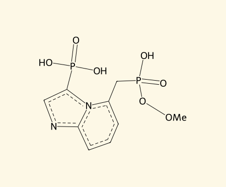 COOP(=O)(O)Cc1cccc2ncc(P(=O)(O)O)n12